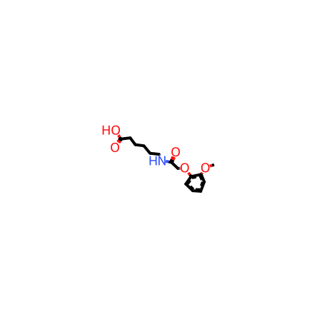 COc1ccccc1OCC(=O)NCCCCCC(=O)O